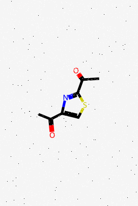 CC(=O)c1csc(C(C)=O)n1